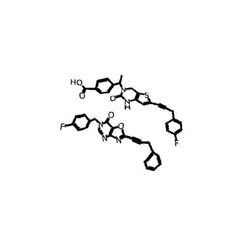 CC(c1ccc(C(=O)O)cc1)N1Cc2sc(C#CCc3ccc(F)cc3)cc2NC1=O.O=c1c2oc(C#CCc3ccccc3)nc2ncn1Cc1ccc(F)cc1